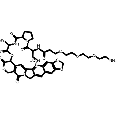 CC(C)C(NC(=O)C1CCCN1C(=O)C(CC(=O)O)NC(=O)CCOCCOCCOCCN)C(=O)OC1C(=O)OCc2c1cc1n(c2=O)Cc2cc3cc4c(cc3nc2-1)OCO4